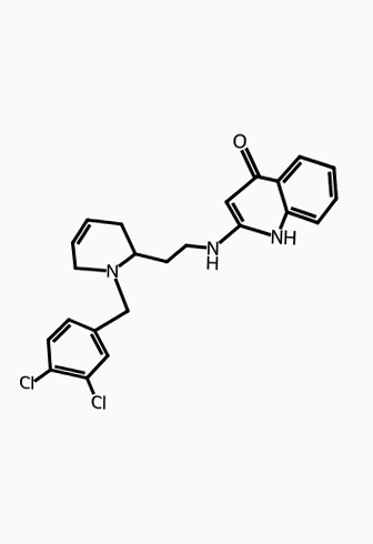 O=c1cc(NCCC2CC=CCN2Cc2ccc(Cl)c(Cl)c2)[nH]c2ccccc12